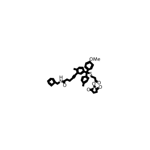 COc1ccc(C(SCCC(=O)ON2C(=O)CCC2=O)(c2ccc(C)cc2)c2ccc(C)c(C#CCCC(=O)NCc3ccccc3)c2)cc1